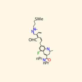 C=CC(/C=N\N(C)CCCSC)=C(C=O)\C=C/Cc1cc(F)c2c(c1)N=C(C)CC(C(=O)N(CCC)CCC)=C2